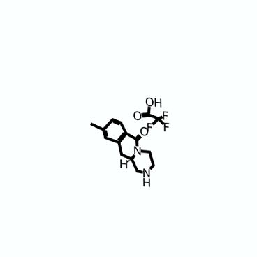 Cc1ccc2c(c1)C[C@@H]1CNCCN1C2=O.O=C(O)C(F)(F)F